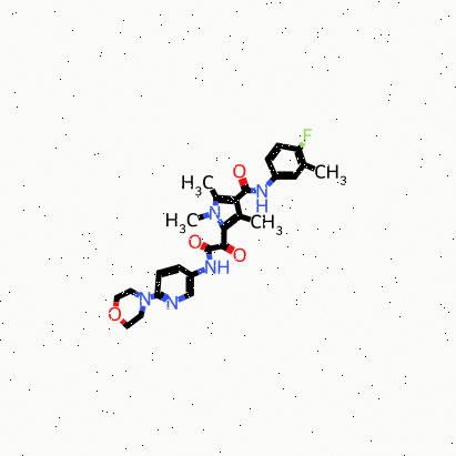 Cc1cc(NC(=O)c2c(C)c(C(=O)C(=O)Nc3ccc(N4CCOCC4)nc3)n(C)c2C)ccc1F